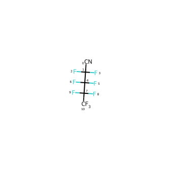 N#CC(F)(F)C(F)(F)C(F)(F)C(F)(F)F